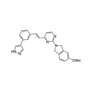 COc1ccc2c(c1)CN(c1nccc(/C=C/c3cccc(-c4cn[nH]c4)c3)n1)C2